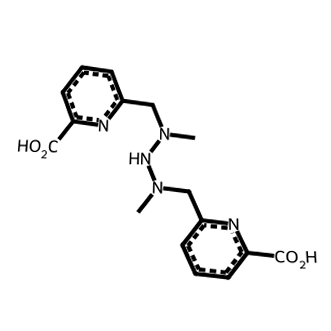 CN(Cc1cccc(C(=O)O)n1)NN(C)Cc1cccc(C(=O)O)n1